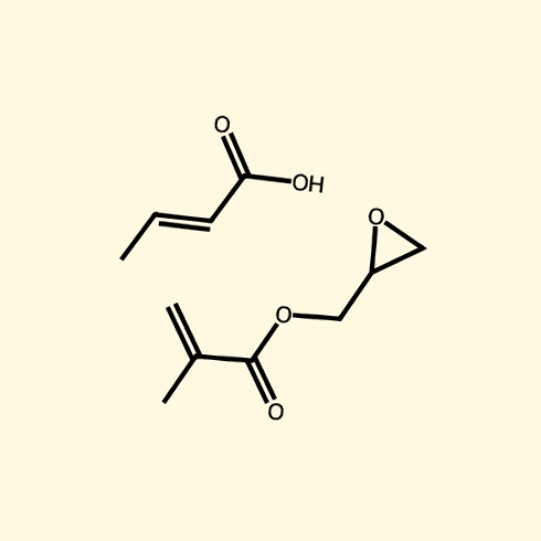 C=C(C)C(=O)OCC1CO1.CC=CC(=O)O